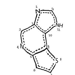 c1nc2cnc3ccsc3c2[nH]1